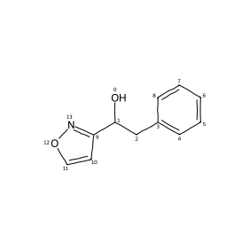 OC(Cc1ccccc1)c1ccon1